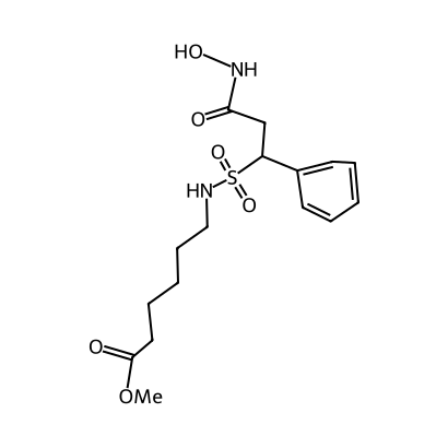 COC(=O)CCCCCNS(=O)(=O)C(CC(=O)NO)c1ccccc1